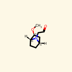 CO[C@H]1C[C@@H]2CC[C@H]1N2CC=O